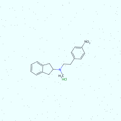 CN(CCc1ccc([N+](=O)[O-])cc1)C1Cc2ccccc2C1.Cl